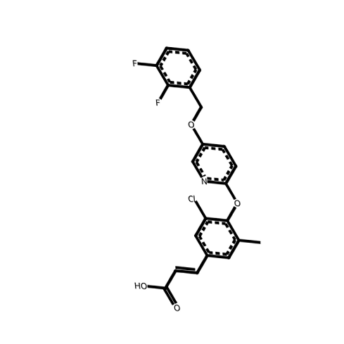 Cc1cc(C=CC(=O)O)cc(Cl)c1Oc1ccc(OCc2cccc(F)c2F)cn1